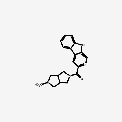 O=C(O)N1CC2CN(C(=O)c3cc4c(cn3)[nH]c3ccccc34)CC2C1